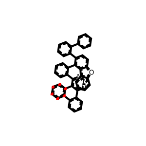 c1ccc(-c2ccccc2-c2ccc3oc4ccccc4c3c2-c2ccccc2-c2nnnc(-c3ccccc3-c3ccccc3)c2-c2ccccc2)cc1